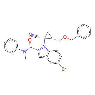 CN(C(=O)c1cc2cc(Br)ccc2n1[C@@]1(C#N)C[C@@H]1COCc1ccccc1)c1ccccc1